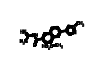 CC(=O)O.Cn1cc(-c2ccc3cc(C(=O)NC(=N)N)ccc3c2)cn1